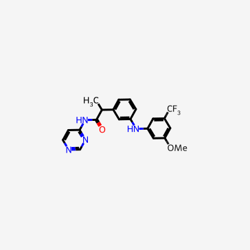 COc1cc(Nc2cccc(C(C)C(=O)Nc3ccncn3)c2)cc(C(F)(F)F)c1